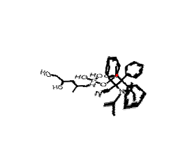 COC(OC)(O[PH](O)(O)CC(C)CC(O)CO)C(C#N)(N(C(C)C)C(C)C)C(c1ccccc1)(c1ccccc1)c1ccccc1